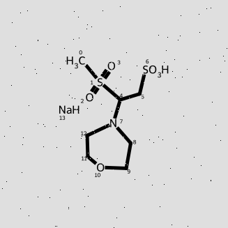 CS(=O)(=O)C(CS(=O)(=O)O)N1CCOCC1.[NaH]